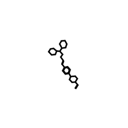 C=CC1CCC(c2ccc(C=CCCC(C3CCCCC3)C3CCCCC3)cc2)CC1